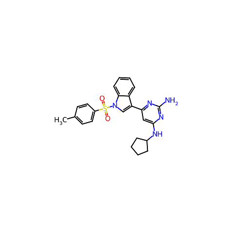 Cc1ccc(S(=O)(=O)n2cc(-c3cc(NC4CCCC4)nc(N)n3)c3ccccc32)cc1